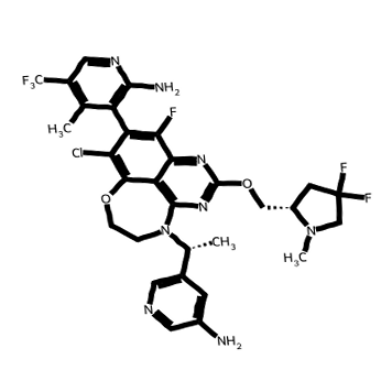 Cc1c(C(F)(F)F)cnc(N)c1-c1c(Cl)c2c3c(nc(OC[C@@H]4CC(F)(F)CN4C)nc3c1F)N([C@H](C)c1cncc(N)c1)CCO2